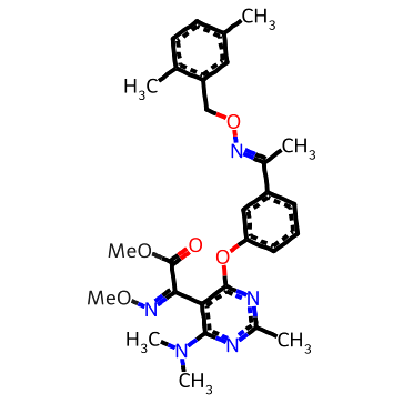 CON=C(C(=O)OC)c1c(Oc2cccc(C(C)=NOCc3cc(C)ccc3C)c2)nc(C)nc1N(C)C